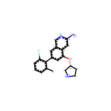 Cc1cccc(F)c1-c1cc(O[C@@H]2CCNC2)c2cc(N)ncc2c1